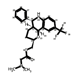 CN(C)CC(=O)OC[C@H]1CC[C@@H]2[C@H](O1)c1cc(C(F)(F)F)ccc1N[C@H]2c1ccccc1